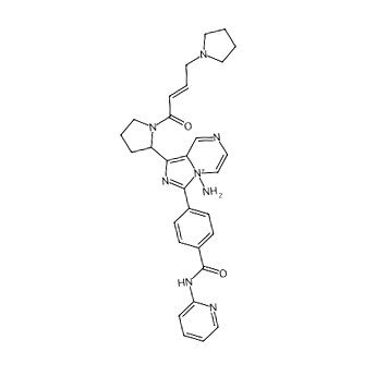 N[N+]12C=CN=CC1=C(C1CCCN1C(=O)/C=C/CN1CCCC1)N=C2c1ccc(C(=O)Nc2ccccn2)cc1